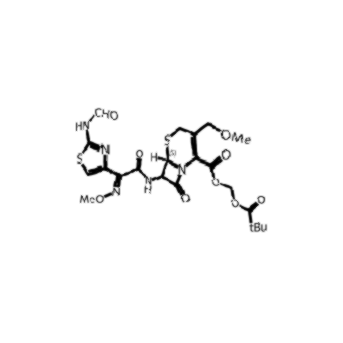 COCC1=C(C(=O)OCOC(=O)C(C)(C)C)N2C(=O)C(NC(=O)C(=NOC)c3csc(NC=O)n3)[C@@H]2SC1